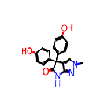 Cn1cc2c(n1)NC(=O)C2(c1ccc(O)cc1)c1ccc(O)cc1